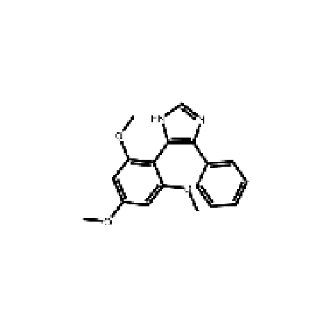 COc1cc(OC)c(-c2[nH]cnc2-c2ccccc2)c(OC)c1